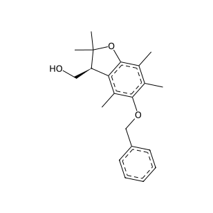 Cc1c(C)c2c(c(C)c1OCc1ccccc1)[C@@H](CO)C(C)(C)O2